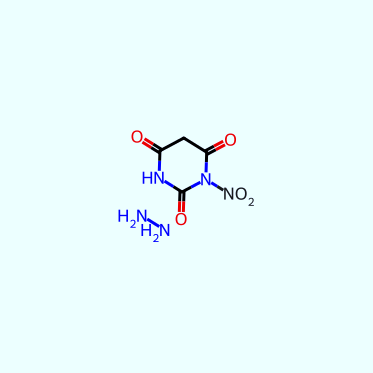 NN.O=C1CC(=O)N([N+](=O)[O-])C(=O)N1